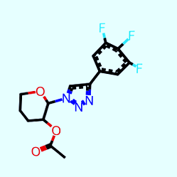 CC(=O)OC1CCCOC1n1cc(-c2cc(F)c(F)c(F)c2)nn1